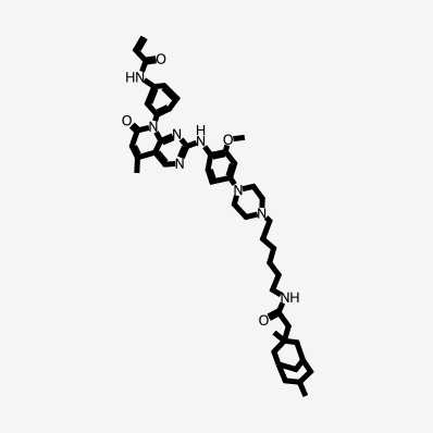 C=CC(=O)Nc1cccc(-n2c(=O)cc(C)c3cnc(Nc4ccc(N5CCN(CCCCCCNC(=O)CC6(C)CC7CC(C)CC(C7)C6)CC5)cc4OC)nc32)c1